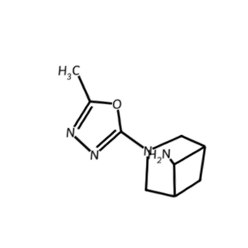 Cc1nnc(N2CC3CC(C2)C3N)o1